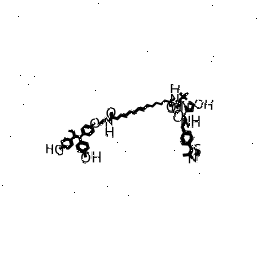 CCC(=C(c1ccc(O)cc1)c1ccc(OCCNC(=O)CCCCCCCCCCCCC(=O)NC(C(=O)N2C[C@H](O)C[C@H]2C(=O)NCc2ccc(-c3scnc3C)cc2)C(C)(C)C)cc1)c1ccc(O)cc1